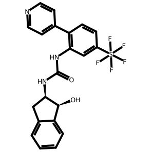 O=C(Nc1cc(S(F)(F)(F)(F)F)ccc1-c1ccncc1)N[C@@H]1Cc2ccccc2[C@@H]1O